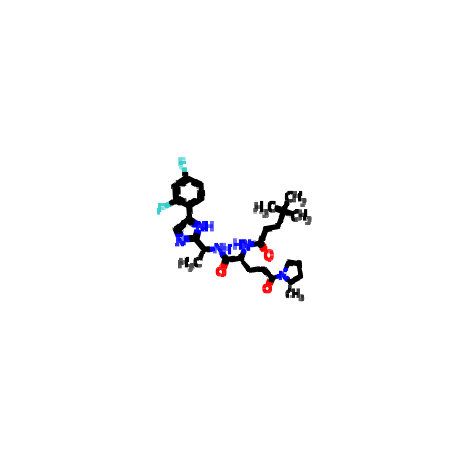 C[C@H](NC(=O)[C@H](CCC(=O)N1CCC[C@@H]1C)NC(=O)CCC(C)(C)C)c1ncc(-c2ccc(F)cc2F)[nH]1